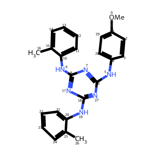 COc1ccc(Nc2nc(Nc3ccccc3C)nc(Nc3ccccc3C)n2)cc1